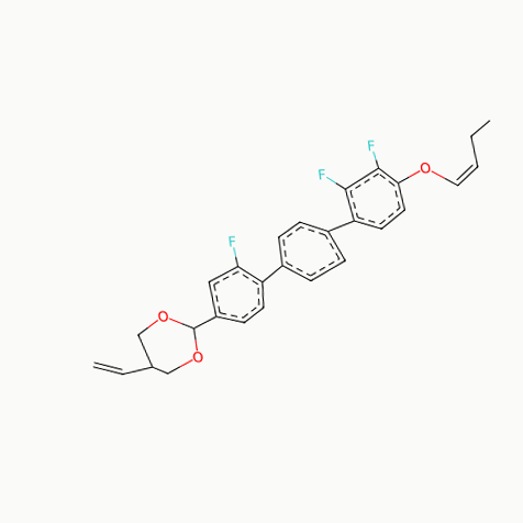 C=CC1COC(c2ccc(-c3ccc(-c4ccc(O/C=C\CC)c(F)c4F)cc3)c(F)c2)OC1